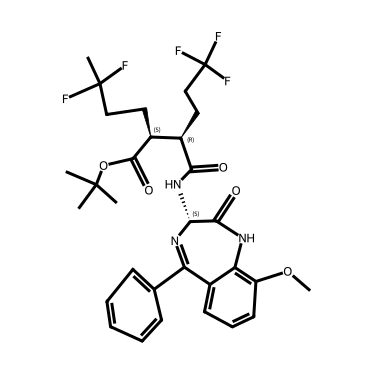 COc1cccc2c1NC(=O)[C@@H](NC(=O)[C@H](CCC(F)(F)F)[C@H](CCC(C)(F)F)C(=O)OC(C)(C)C)N=C2c1ccccc1